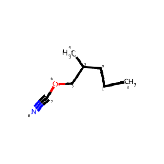 CCCC(C)COC#N